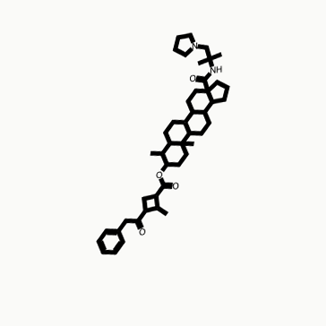 CC1C(C(=O)Cc2ccccc2)CC1C(=O)OC1CCC2(C)C(CCC3C4CCC5(C(=O)NC(C)(C)CN6CCCC6)CCCC5C4CCC32)C1C